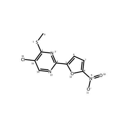 CSc1nc(-c2ccc([N+](=O)[O-])o2)ncc1Cl